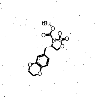 CC(C)(C)OC(=O)N1[C@@H](Cc2ccc3c(c2)OCCO3)COS1(=O)=O